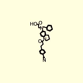 N#Cc1ccc(CCC(=O)N2CCCc3cc(N(CC(=O)O)Cc4ccccc4)ccc32)cc1